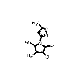 CC1=C(Cl)C(=O)N(c2cc(C)on2)C1O